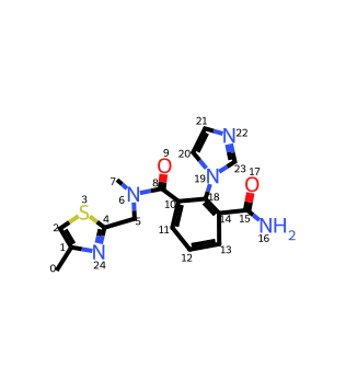 Cc1csc(CN(C)C(=O)c2cccc(C(N)=O)c2-n2ccnc2)n1